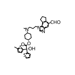 Cc1ccc([C@@](O)(C(=O)O[C@H]2CC[C@H](N(C)CCCn3cnc4cc(C=O)c5c(c43)CCC5)CC2)c2cccs2)s1